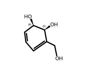 OCC1=CC=C[C@@H](O)[C@H]1O